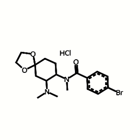 CN(C)C1CC2(CCC1N(C)C(=O)c1ccc(Br)cc1)OCCO2.Cl